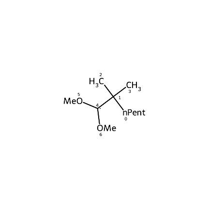 CCCCCC(C)(C)[C](OC)OC